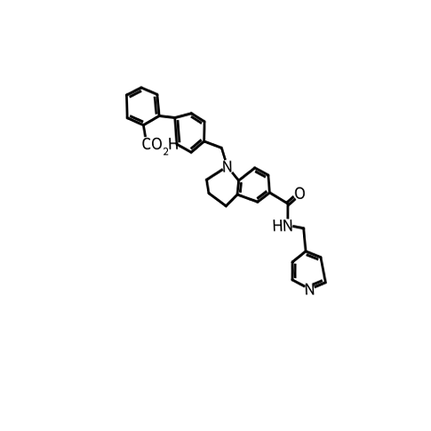 O=C(NCc1ccncc1)c1ccc2c(c1)CCCN2Cc1ccc(-c2ccccc2C(=O)O)cc1